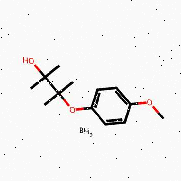 B.COc1ccc(OC(C)(C)C(C)(C)O)cc1